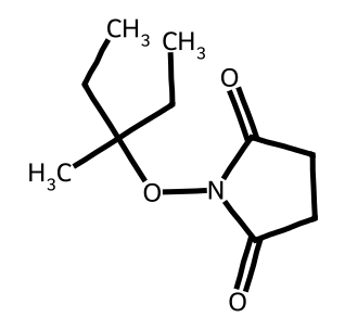 CCC(C)(CC)ON1C(=O)CCC1=O